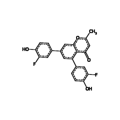 Cc1cc(=O)c2c(-c3ccc(O)c(F)c3)cc(-c3ccc(O)c(F)c3)cc2o1